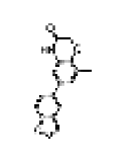 Cc1cc(-c2ccc3occc3c2)cc2c1OCC(=O)N2